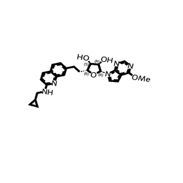 COc1ncnc2c1ccn2[C@@H]1O[C@H](CCc2ccc3ccc(NCC4CC4)nc3c2)[C@@H](O)[C@H]1O